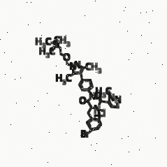 Cc1nn(COCC[Si](C)(C)C)c(C)c1-c1ccc(NC(=O)C(Cc2cc(Br)ccc2Cl)NC(=O)c2ccnn2C)cc1